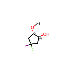 CCO[C@H]1CC(F)(I)C[C@@H]1O